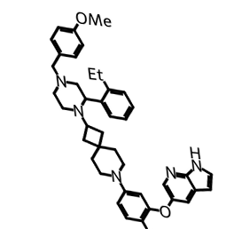 CCc1ccccc1C1CN(Cc2ccc(OC)cc2)CCN1C1CC2(CCN(c3ccc(C=O)c(Oc4cnc5[nH]ccc5c4)c3)CC2)C1